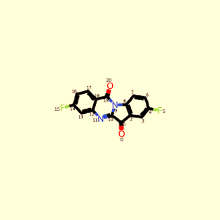 O=C1c2cc(F)ccc2-n2c1nc1cc(F)ccc1c2=O